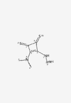 CCCCCCNc1c(N(C)C)c(=S)c1=S